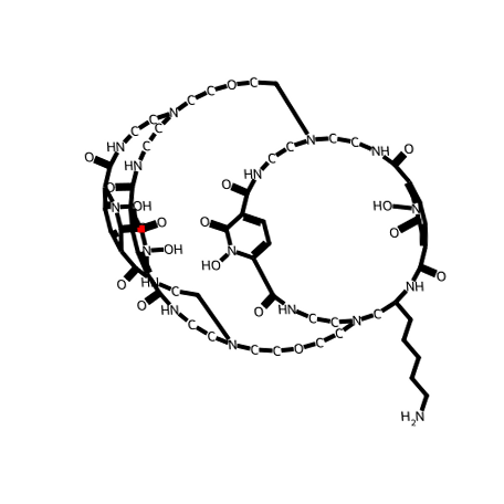 NCCCCCC1CN2CCNC(=O)c3ccc(c(=O)n3O)C(=O)NCCN(CCNC(=O)c3ccc(c(=O)n3O)C(=O)N1)CCOCCN1CCNC(=O)c3ccc(n(O)c3=O)C(=O)NCCN(CCNC(=O)c3ccc(n(O)c3=O)C(=O)NCC1)CCOCC2